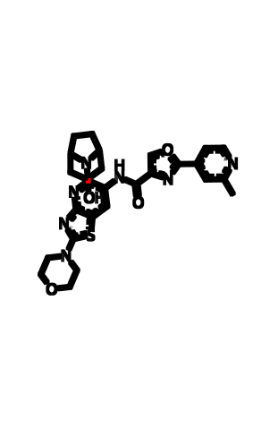 Cc1cc(-c2nc(C(=O)Nc3cc4sc(N5CCOCC5)nc4nc3N3C4CCC3CC(O)C4)co2)ccn1